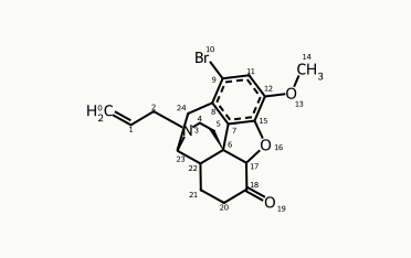 C=CCN1CC[C@@]23c4c5c(Br)cc(OC)c4OC2C(=O)CCC3C1C5